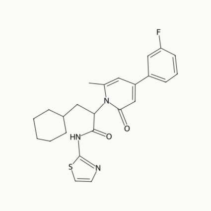 Cc1cc(-c2cccc(F)c2)cc(=O)n1C(CC1CCCCC1)C(=O)Nc1nccs1